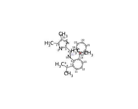 Cc1nc(/C(=N/c2c(C(C)C)cccc2C(C)C)c2ccccc2)sc1C